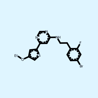 CCOc1csc(-c2cc(NCCc3ccc(Br)cc3F)ncn2)c1